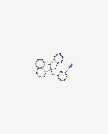 N#Cc1cccc(CC2(Cc3ccncc3)C(=O)c3cccc4cccc2c34)c1